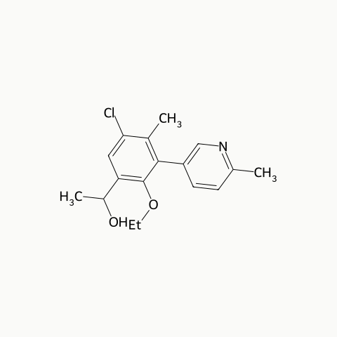 CCOc1c(C(C)O)cc(Cl)c(C)c1-c1ccc(C)nc1